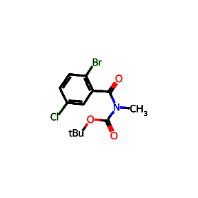 CN(C(=O)OC(C)(C)C)C(=O)c1cc(Cl)ccc1Br